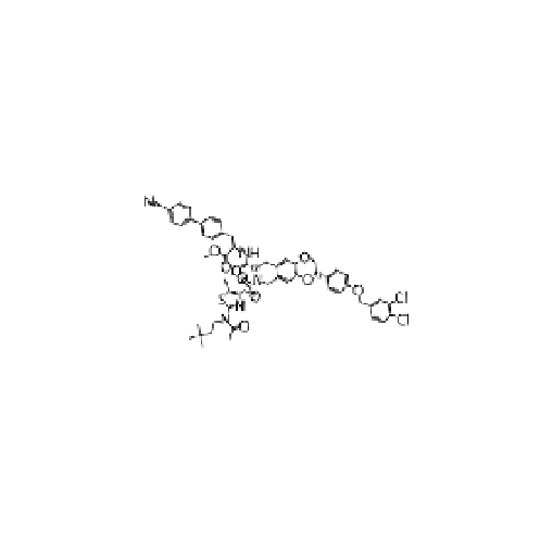 COC(=O)C(Cc1ccc(-c2ccc(C#N)cc2)cc1)NC(=O)[C@@H]1Cc2cc3c(cc2CN1S(=O)(=O)c1nc(N(CCC(C)(C)C)C(C)=O)sc1C)O[C@@H](c1ccc(OCc2ccc(Cl)c(Cl)c2)cc1)CO3